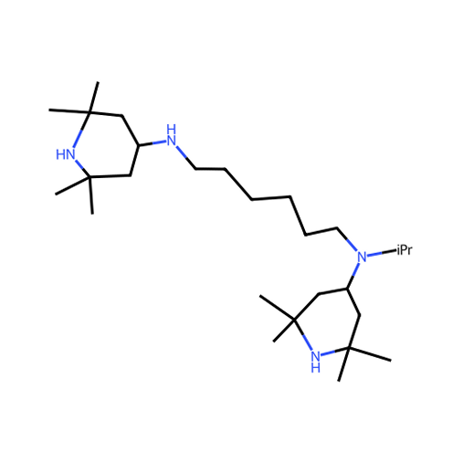 CC(C)N(CCCCCCNC1CC(C)(C)NC(C)(C)C1)C1CC(C)(C)NC(C)(C)C1